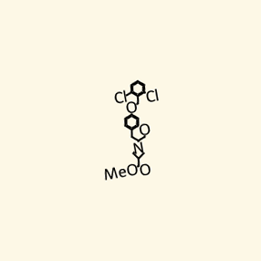 COC(=O)C1CN(C2COc3cc(OCc4c(Cl)cccc4Cl)ccc3C2)C1